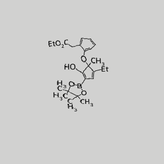 CCOC(=O)Cc1ccccc1OC1(C)C(CC)=CC(B2OC(C)(C)C(C)(C)O2)=C1O